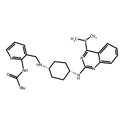 CN(C)c1nc(N[C@H]2CC[C@@H](NCc3cccnc3NC(=O)C(C)(C)C)CC2)nc2ccccc12